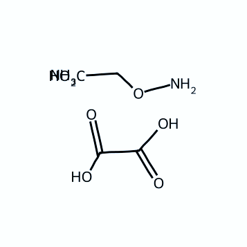 N.NOCC(=O)O.O=C(O)C(=O)O